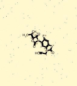 C#CCn1c(=O)sc2cc(F)c(N3C(=O)OC(=C(C)C)C3=O)cc21